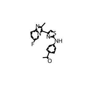 CC(=O)c1ccc(Nc2nc(-c3c(C)nc4ccc(F)cn34)cs2)cc1